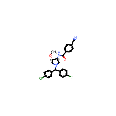 CO[C@H]1CN(C(c2ccc(Cl)cc2)c2ccc(Cl)cc2)C[C@@H]1NC(=O)c1ccc(C#N)cc1